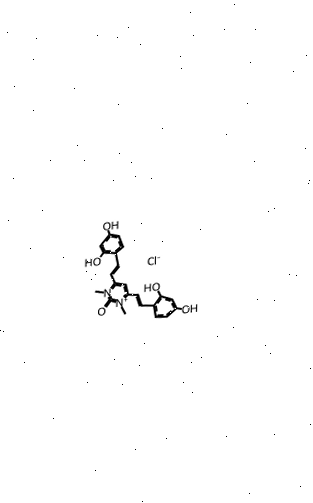 Cn1c(C=Cc2ccc(O)cc2O)cc(C=Cc2ccc(O)cc2O)[n+](C)c1=O.[Cl-]